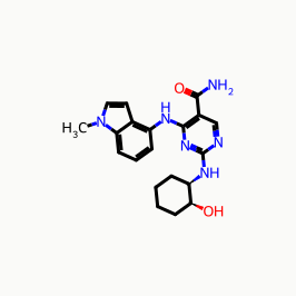 Cn1ccc2c(Nc3nc(N[C@@H]4CCCC[C@@H]4O)ncc3C(N)=O)cccc21